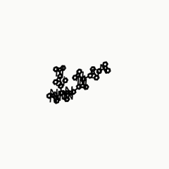 c1ccc([Si](c2ccccc2)(c2ccc(-c3cc(-n4c5ccccc5c5ccccc54)nc(-n4c5ccccc5c5cc(-c6ccc7c(c6)nc6n(-c8cc(-c9ccc([Si](c%10ccccc%10)(c%10ccccc%10)c%10ccc(-n%11c%12ccccc%12c%12ccccc%12%11)cc%10)cc9)cc(-n9c%10ccccc%10n%10c%11ccccc%11nc9%10)n8)c8ccccc8n76)ccc54)c3)cc2)c2ccc(-n3c4ccccc4c4ccccc43)cc2)cc1